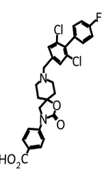 O=C(O)c1ccc(N2CC3(CCN(Cc4cc(Cl)c(-c5ccc(F)cc5)c(Cl)c4)CC3)OC2=O)cc1